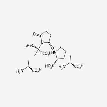 CO[C@](C)(C(=O)O)N1C(=O)CCC1=O.C[C@H](N)C(=O)O.C[C@H](N)C(=O)O.O=C(O)[C@@H]1CCCN1